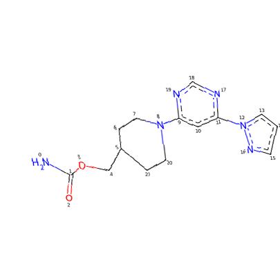 NC(=O)OCC1CCN(c2cc(-n3cccn3)ncn2)CC1